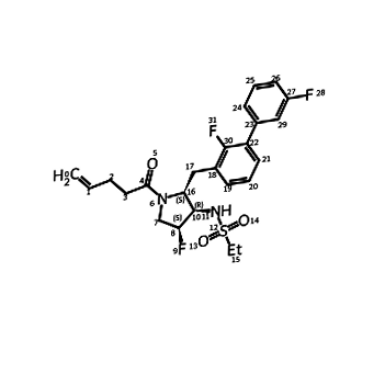 C=CCCC(=O)N1C[C@H](F)[C@H](NS(=O)(=O)CC)[C@@H]1Cc1cccc(-c2cccc(F)c2)c1F